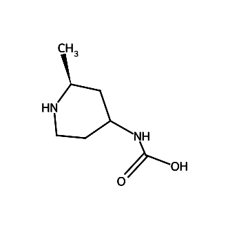 C[C@H]1CC(NC(=O)O)CCN1